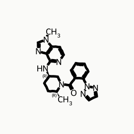 C[C@@H]1CC[C@@H](Nc2nccc3c2ncn3C)CN1C(=O)c1ccccc1-n1nccn1